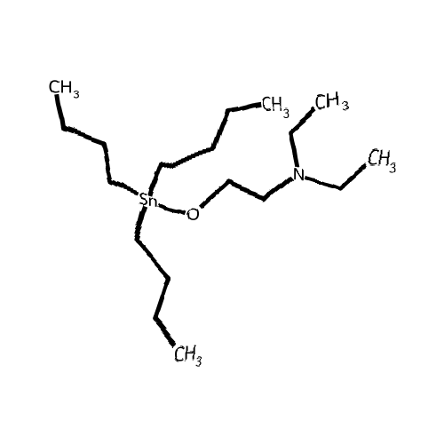 CCC[CH2][Sn]([CH2]CCC)([CH2]CCC)[O]CCN(CC)CC